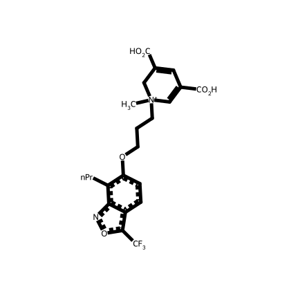 CCCc1c(OCCC[N+]2(C)C=C(C(=O)O)C=C(C(=O)O)C2)ccc2c(C(F)(F)F)onc12